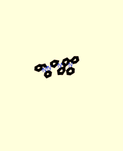 c1ccc(-n2c3ccccc3c3ccc4c(c5ccccc5n4-c4cccc(-n5c6ccccc6n6c7ccccc7cc56)c4)c32)cc1